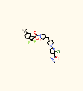 CN(C)C(=O)c1ccc(N2CCC(CC3CCN(C(=O)C4(O)c5cc(C(F)(F)F)ccc5C4(F)F)CC3)CC2)nc1Cl